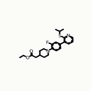 CCOC(=O)CC1CCN(c2ccc(-c3cccnc3SC(C)C)cc2F)CC1